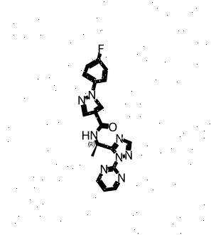 C[C@@H](NC(=O)c1cnn(-c2ccc(F)cc2)c1)c1ncnn1-c1ncccn1